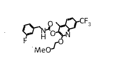 COCCOc1nc2cc(C(F)(F)F)ccc2c(C)c1OC(=O)NCc1cccc(F)c1